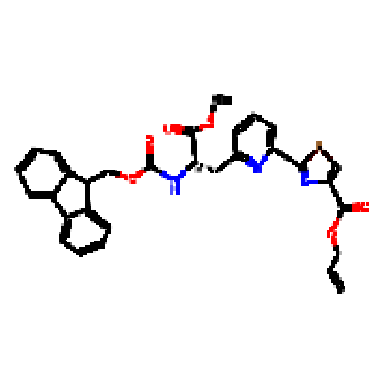 C=CCOC(=O)c1csc(-c2cccc(C[C@H](NC(=O)OCC3c4ccccc4-c4ccccc43)C(=O)OC(C)(C)C)n2)n1